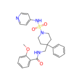 COc1ccccc1C(=O)NCC1(c2ccccc2)CCN(S(=O)(=O)Nc2ccncc2)CC1